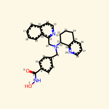 O=C(NO)c1ccc(CN(Cc2nccc3ccccc23)[C@H]2CCCc3cccnc32)cc1